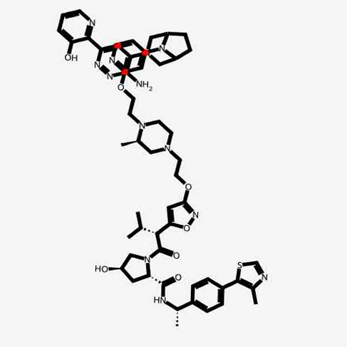 Cc1ncsc1-c1ccc([C@H](C)NC(=O)[C@@H]2C[C@@H](O)CN2C(=O)[C@@H](c2cc(OCCN3CCN(CCOc4cc(N5C6CCC5CN(c5cc(-c7ncccc7O)nnc5N)C6)ccn4)[C@H](C)C3)no2)C(C)C)cc1